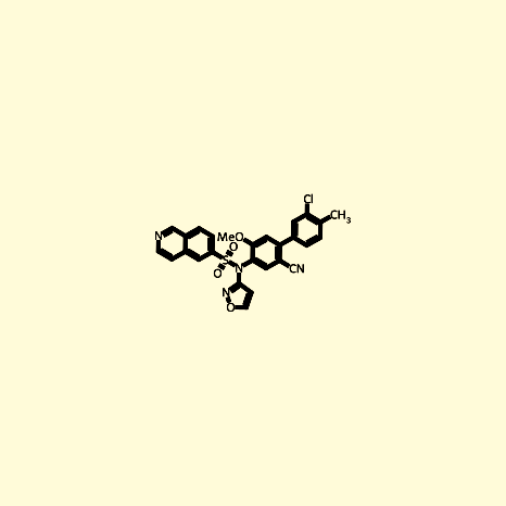 COc1cc(-c2ccc(C)c(Cl)c2)c(C#N)cc1N(c1ccon1)S(=O)(=O)c1ccc2cnccc2c1